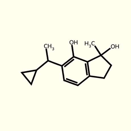 CC(c1ccc2c(c1O)C(C)(O)CC2)C1CC1